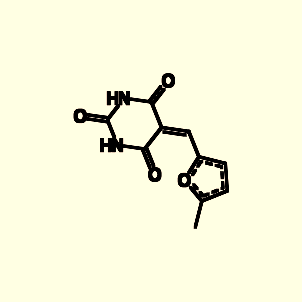 Cc1ccc(C=C2C(=O)NC(=O)NC2=O)o1